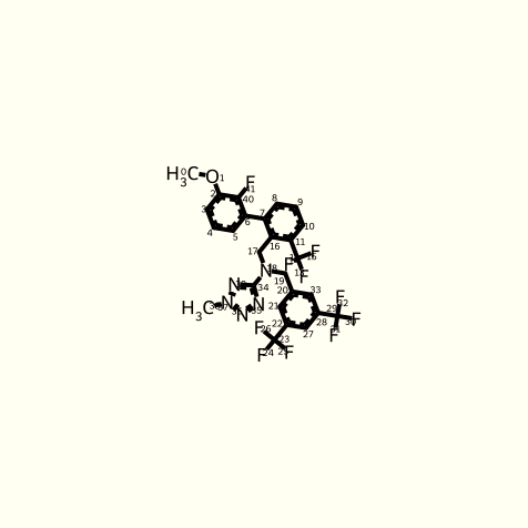 COc1cccc(-c2cccc(C(F)(F)F)c2CN(Cc2cc(C(F)(F)F)cc(C(F)(F)F)c2)c2nnn(C)n2)c1F